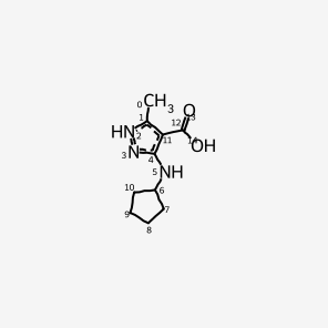 Cc1[nH]nc(NC2CCCC2)c1C(=O)O